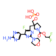 Nc1ncc(-c2nc(N3CCOCC3)nc(C[C@@]3(COP(=O)(O)O)CCN(C(=O)OCC(F)F)C3)c2F)cn1